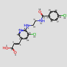 O=C(O)C=Cc1cnc(NCCNC(=O)c2ccc(Cl)cc2)c(Cl)c1